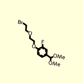 COC(OC)c1ccc(OCCOCCBr)c(F)c1